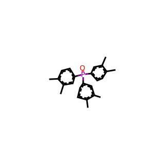 Cc1ccc(P(=O)(c2ccc(C)c(C)c2)c2ccc(C)c(C)c2)cc1C